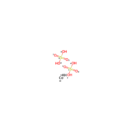 O=S(=O)(O)O.O=S(=O)(O)O.[Co].[KH]